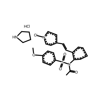 C1CCNC1.COc1ccc(S(=O)(=O)N(C(C)=O)c2ccccc2C=Cc2cc[n+]([O-])cc2)cc1.Cl